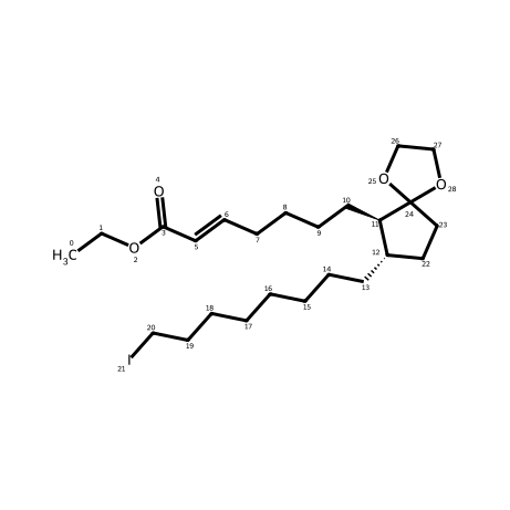 CCOC(=O)C=CCCCC[C@@H]1[C@@H](CCCCCCCCI)CCC12OCCO2